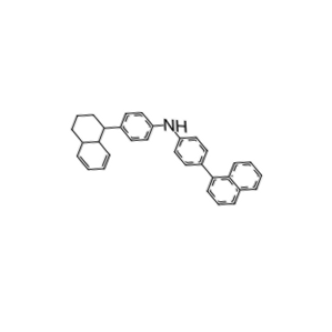 C1=CC2CCCC(c3ccc(Nc4ccc(-c5cccc6ccccc56)cc4)cc3)C2C=C1